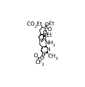 CCOC(=O)C(Cc1cn(Cc2c[n+](OC(=O)C(F)(F)F)c(C)nc2N)nn1)P(=O)(OCC)OCC